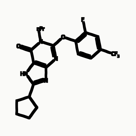 CCCn1c(Oc2ccc(C(F)(F)F)cc2F)nc2nc(C3CCCC3)[nH]c2c1=O